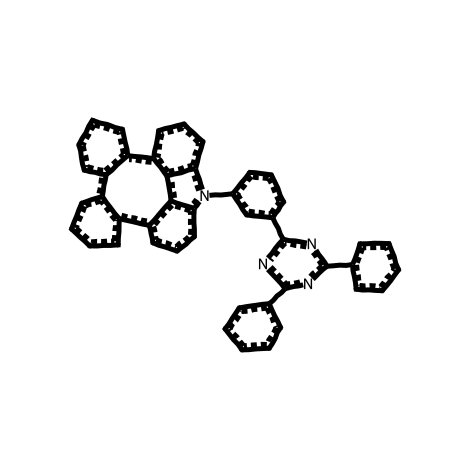 c1ccc(-c2nc(-c3ccccc3)nc(-c3cccc(-n4c5cccc6c7ccccc7c7ccccc7c7cccc4c7c65)c3)n2)cc1